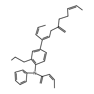 C=C(C/C=C(\C=C/C)c1ccc(N(C(=C)/C=C\C)c2ccccc2)c(CCC)c1)CC/C=C\C